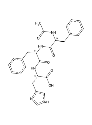 CC(=O)N[C@@H](Cc1ccccc1)C(=O)N[C@@H](Cc1ccccc1)C(=O)N[C@@H](Cc1c[nH]cn1)C(=O)O